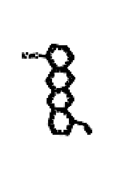 C=Cc1cccc2cc3cc4c(OC)cccc4cc3cc12